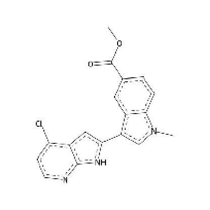 COC(=O)c1ccc2c(c1)c(-c1cc3c(Cl)ccnc3[nH]1)cn2C